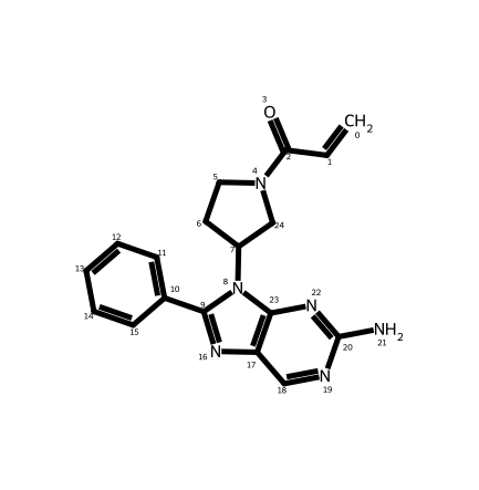 C=CC(=O)N1CCC(n2c(-c3ccccc3)nc3cnc(N)nc32)C1